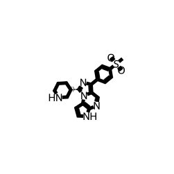 CS(=O)(=O)c1ccc(-c2nc([C@H]3CCCNC3)n3c2cnc2[nH]ccc23)cc1